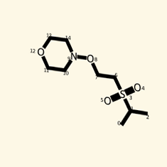 CC(C)S(=O)(=O)CCON1CCOCC1